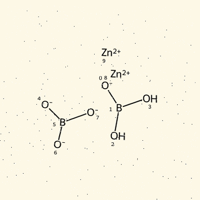 [O-]B(O)O.[O-]B([O-])[O-].[Zn+2].[Zn+2]